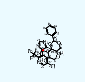 [N-]=[N+]=N[C@@H]1[C@@H](O)CO[C@@H]2COC(c3ccccc3)O[C@@]12c1ncnn1-c1cc(Cl)cnc1C(F)(F)F